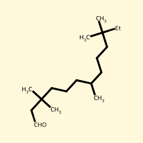 CCC(C)(C)CCCC(C)CCCC(C)(C)CC=O